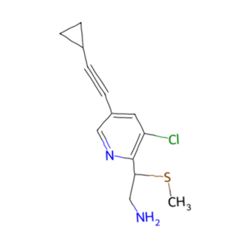 CSC(CN)c1ncc(C#CC2CC2)cc1Cl